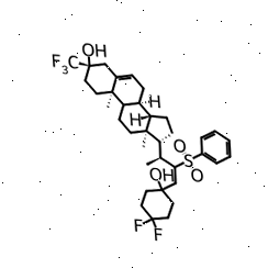 C[C@H](C(CC1(O)CCC(F)(F)CC1)S(=O)(=O)c1ccccc1)[C@H]1CC[C@H]2[C@@H]3CC=C4C[C@](O)(C(F)(F)F)CC[C@]4(C)C3CC[C@]12C